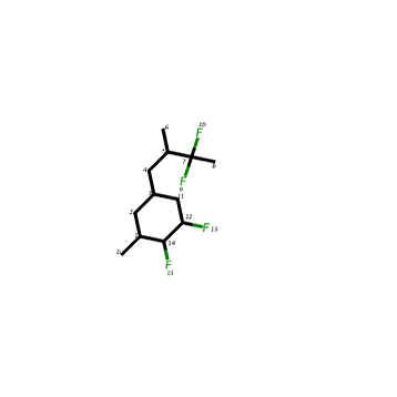 CC1CC(CC(C)C(C)(F)F)CC(F)C1F